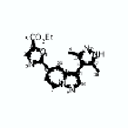 CCOC(=O)c1cnc(-c2ccn3ncc(-c4c(C)n[nH]c4C)c3c2)o1